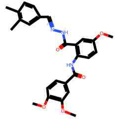 COc1ccc(NC(=O)c2ccc(OC)c(OC)c2)c(C(=O)N/N=C/c2ccc(C)c(C)c2)c1